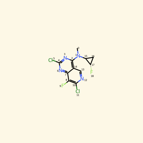 CN(c1nc(Cl)nc2c(F)c(Cl)ncc12)C1C[C@@H]1F